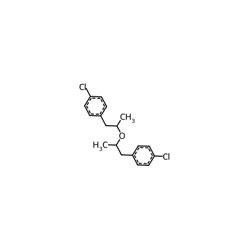 CC(Cc1ccc(Cl)cc1)OC(C)Cc1ccc(Cl)cc1